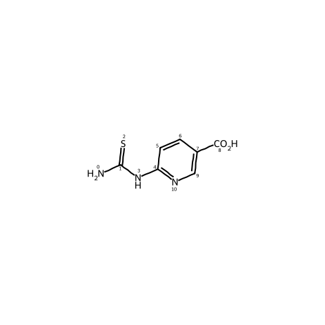 NC(=S)Nc1ccc(C(=O)O)cn1